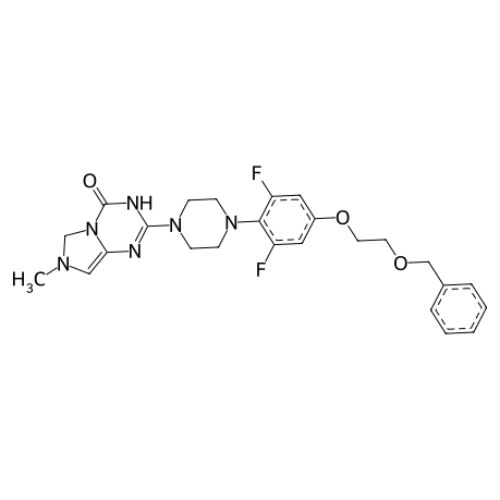 CN1C=C2N=C(N3CCN(c4c(F)cc(OCCOCc5ccccc5)cc4F)CC3)NC(=O)N2C1